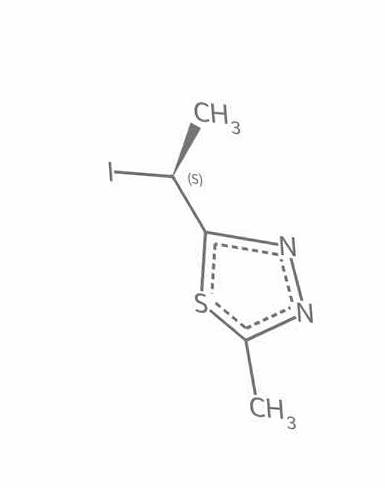 Cc1nnc([C@H](C)I)s1